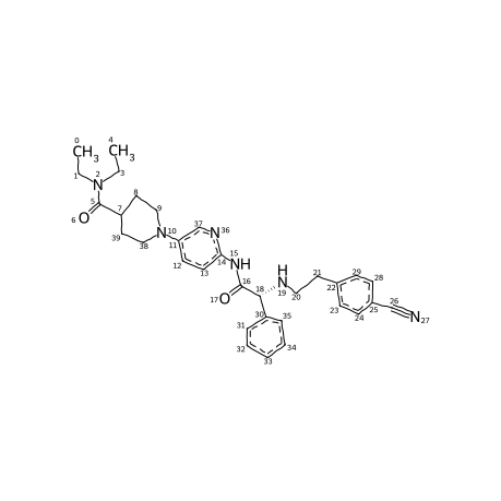 CCN(CC)C(=O)C1CCN(c2ccc(NC(=O)[C@H](NCCc3ccc(C#N)cc3)c3ccccc3)nc2)CC1